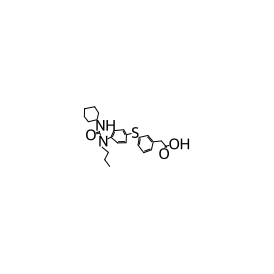 CCCCN(C(=O)NC1CCCCC1)c1ccc(Sc2cccc(CC(=O)O)c2)cc1